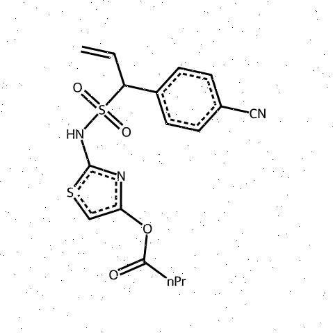 C=CC(c1ccc(C#N)cc1)S(=O)(=O)Nc1nc(OC(=O)CCC)cs1